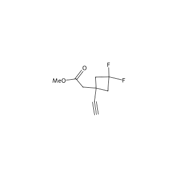 C#CC1(CC(=O)OC)CC(F)(F)C1